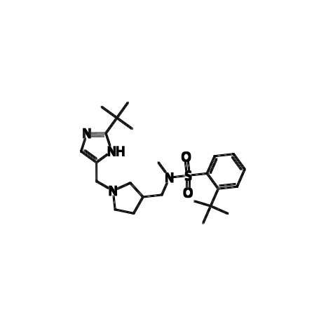 CN(CC1CCN(Cc2cnc(C(C)(C)C)[nH]2)C1)S(=O)(=O)c1ccccc1C(C)(C)C